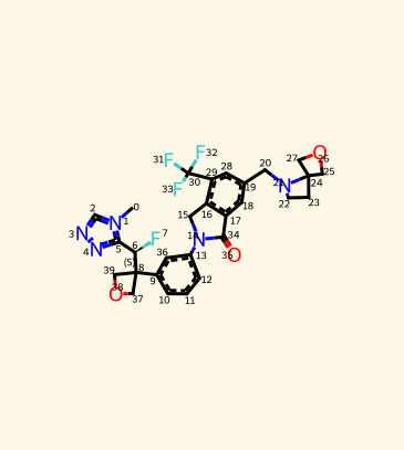 Cn1cnnc1[C@@H](F)C1(c2cccc(N3Cc4c(cc(CN5CCC56COC6)cc4C(F)(F)F)C3=O)c2)COC1